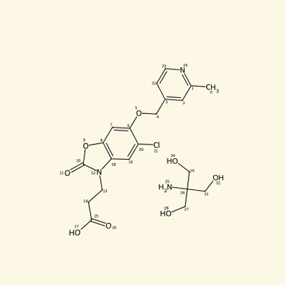 Cc1cc(COc2cc3oc(=O)n(CCC(=O)O)c3cc2Cl)ccn1.NC(CO)(CO)CO